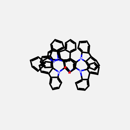 c1ccc(-c2ccc(-c3ccccc3-c3c(-n4c5ccccc5c5ccccc54)c(-n4c5ccccc5c5ccccc54)nc(-n4c5ccccc5c5ccccc54)c3-n3c4ccccc4c4ccccc43)c(-c3ccccc3)n2)cc1